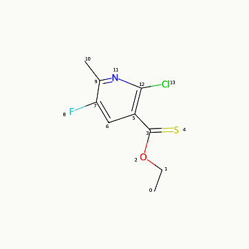 CCOC(=S)c1cc(F)c(C)nc1Cl